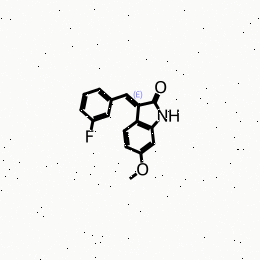 COc1ccc2c(c1)NC(=O)/C2=C/c1cccc(F)c1